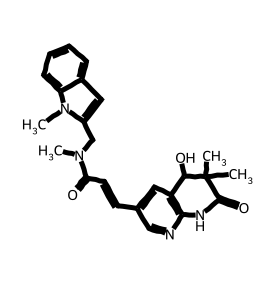 CN(Cc1cc2ccccc2n1C)C(=O)C=Cc1cnc2c(c1)C(O)C(C)(C)C(=O)N2